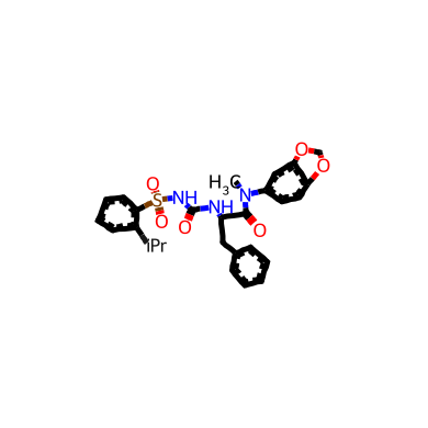 CC(C)c1ccccc1S(=O)(=O)NC(=O)NC(Cc1ccccc1)C(=O)N(C)c1ccc2c(c1)OCO2